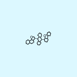 c1ccc2c(c1)ccc1c(-c3c4ccccc4c(-c4cccc5c4oc4ccccc45)c4ccccc34)coc12